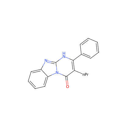 CCCc1c(-c2ccccc2)[nH]c2nc3ccccc3n2c1=O